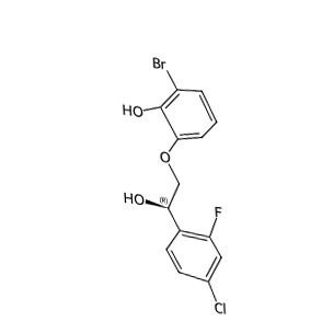 Oc1c(Br)cccc1OC[C@H](O)c1ccc(Cl)cc1F